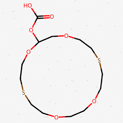 O=C(O)OC1COCCSCCOCCOCCSCCO1